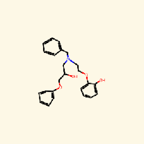 Oc1ccccc1OCCN(Cc1ccccc1)CC(O)COc1ccccc1